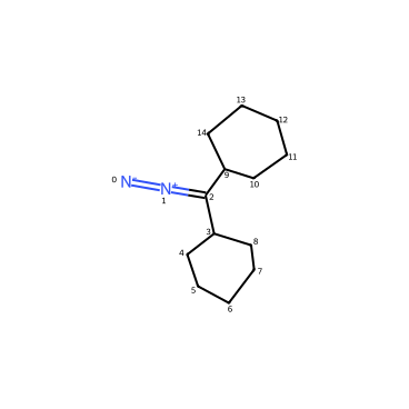 [N-]=[N+]=C(C1CCCCC1)C1CCCCC1